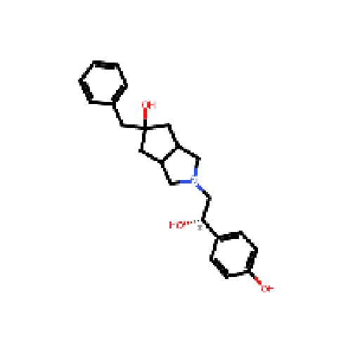 Oc1ccc([C@H](O)CN2CC3CC(O)(Cc4ccccc4)CC3C2)cc1